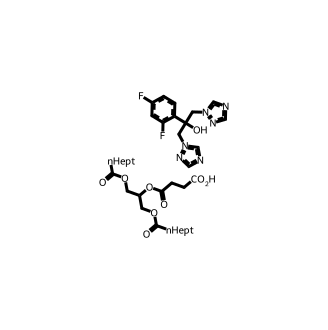 CCCCCCCC(=O)OCC(COC(=O)CCCCCCC)OC(=O)CCC(=O)O.OC(Cn1cncn1)(Cn1cncn1)c1ccc(F)cc1F